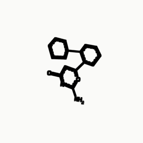 Nc1nc(=O)cc(-c2ccccc2-c2ccccc2)o1